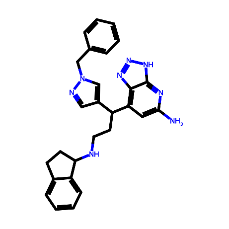 Nc1cc(C(CCNC2CCc3ccccc32)c2cnn(Cc3ccccc3)c2)c2nn[nH]c2n1